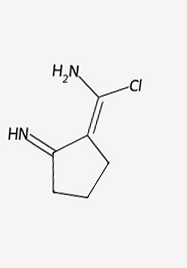 N=C1CCC/C1=C(/N)Cl